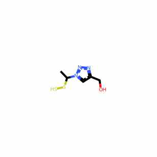 CC(SS)n1cc(CO)nn1